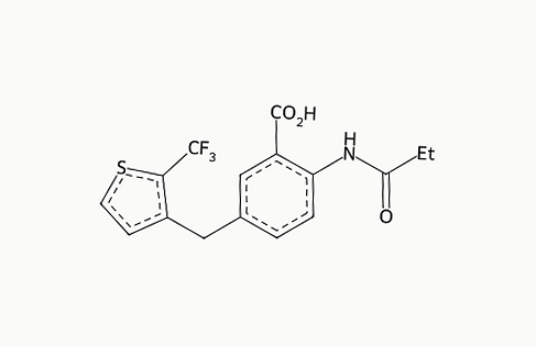 CCC(=O)Nc1ccc(Cc2ccsc2C(F)(F)F)cc1C(=O)O